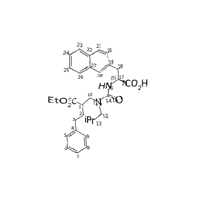 CCOC(=O)C(CCc1ccccc1)CN(CC(C)C)C(=O)N[C@@H](Cc1ccc2ccccc2c1)C(=O)O